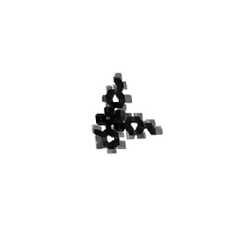 C=Cc1ccc(OP(=O)(Oc2ccc(C=C)cc2)C(=O)c2ccccc2C)cc1